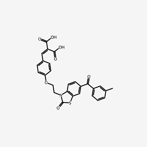 Cc1cccc(C(=O)c2ccc3c(c2)sc(=O)n3CCOc2ccc(C=C(C(=O)O)C(=O)O)cc2)c1